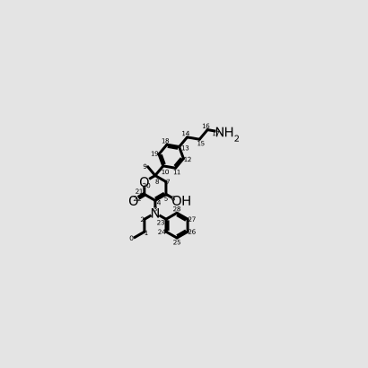 CCCN(C1=C(O)CC(C)(c2ccc(CCCN)cc2)OC1=O)c1ccccc1